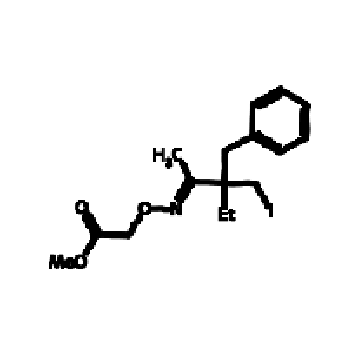 CCC(CI)(Cc1ccccc1)/C(C)=N/OCC(=O)OC